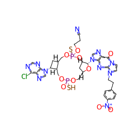 N#CCCOP1(=S)OC[C@H]2C[C@@H](n3cnc4c(Cl)ncnc43)[C@@H]2COP(=O)(S)OC[C@@H]2C[C@@H](O1)[C@H](n1cnc3c(=O)n4ccn(CCc5ccc([N+](=O)[O-])cc5)c4nc31)O2